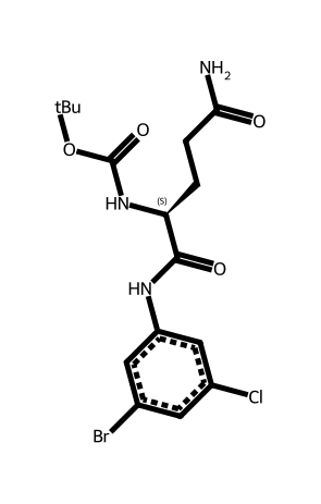 CC(C)(C)OC(=O)N[C@@H](CCC(N)=O)C(=O)Nc1cc(Cl)cc(Br)c1